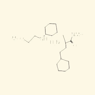 CNC(=O)[C@@](N)(CCC1CCCCC1)C[C@H]1CCC[C@H](NCCOC)C1